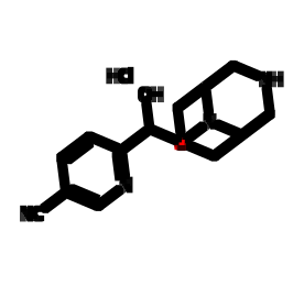 Cl.N#Cc1ccc(C(O)CN2C3CNCC2COC3)nc1